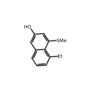 CCc1cccc2cc(O)cc(SC)c12